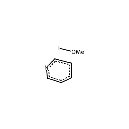 COI.c1ccncc1